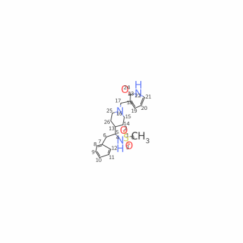 CS(=O)(=O)NC(Cc1ccccc1)C1CCN(Cc2ccc[nH]c2=O)CC1